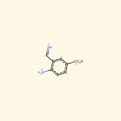 N=Cc1cc(C(=O)O)ccc1N